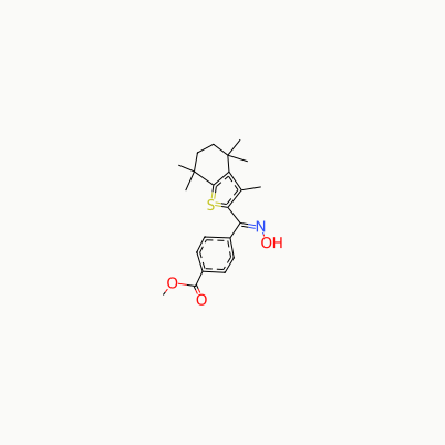 COC(=O)c1ccc(C(=NO)c2sc3c(c2C)C(C)(C)CCC3(C)C)cc1